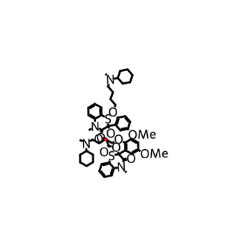 COc1ccc(OCCCCN(C)C2CCCCC2)c(C2(OC(=O)C(=O)OC3(c4cc(OC)ccc4OCCCCN(C)C4CCCCC4)Sc4ccccc4N(C)C3=O)Sc3ccccc3N(C)C2=O)c1